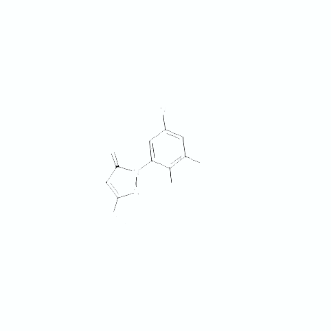 Cc1c(-n2[nH]c(C(=O)O)cc2=O)cc(N)cc1S(=O)(=O)O